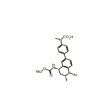 CC(=O)N1c2ccc(-c3ccc(N(C)C(=O)O)cc3)cc2[C@H](NC(=O)OC(C)(C)C)C[C@@H]1C